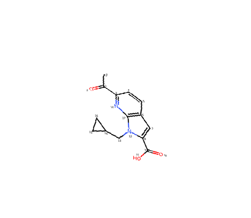 CC(=O)c1ccc2cc(C(=O)O)n(CC3CC3)c2n1